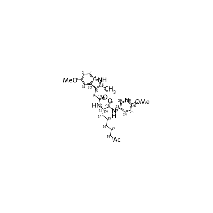 COc1ccc2[nH]c(C)c(CC(=O)N[C@@H](CCCCCC(C)=O)C(=O)Nc3ccc(OC)nc3)c2c1